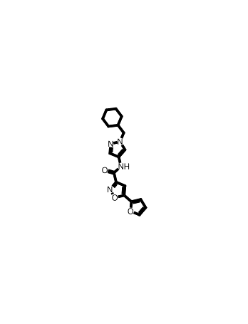 O=C(Nc1cnn(CC2CCCCC2)c1)c1cc(-c2ccco2)on1